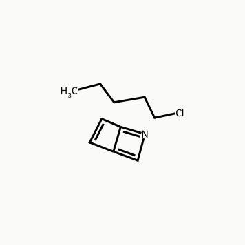 CCCCCCl.c1cc2ncc1-2